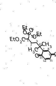 CCOC(=O)C(CCC(C)(C)C1=CC(=O)C=CC1=O)P(=O)(OCC)OCC